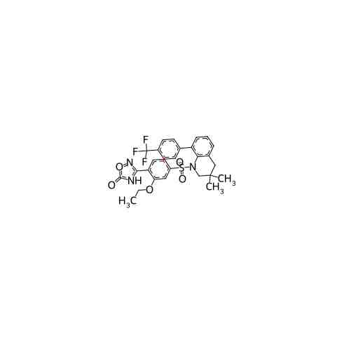 CCOc1cc(S(=O)(=O)N2CC(C)(C)Cc3cccc(-c4ccc(C(F)(F)F)cc4)c32)ccc1-c1noc(=O)[nH]1